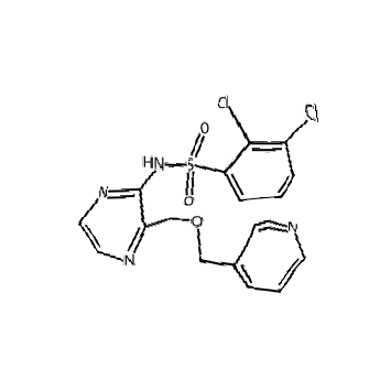 O=S(=O)(Nc1nccnc1OCc1cccnc1)c1cccc(Cl)c1Cl